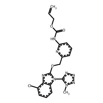 C=CCOC(=O)Nc1cccc(COc2nc3c(Cl)cccc3n2-c2nnnn2C)n1